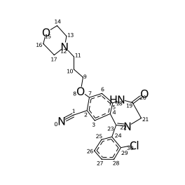 N#Cc1cc2c(cc1OCCCN1CCOCC1)NC(=O)CN=C2c1ccccc1Cl